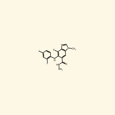 Cn1cnc2c(F)c(Nc3ccc(I)cc3F)c(C(=O)NN)cc21